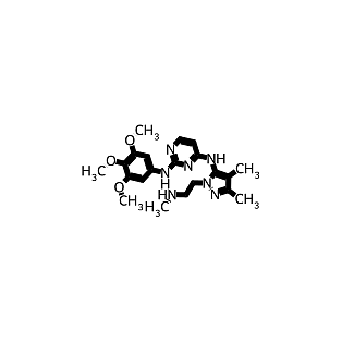 CNCCn1nc(C)c(C)c1Nc1ccnc(Nc2cc(OC)c(OC)c(OC)c2)n1